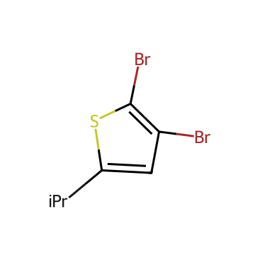 CC(C)c1cc(Br)c(Br)s1